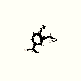 CC(C)c1ccc(Br)c(CBr)c1